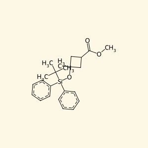 COC(=O)C1CC(C)(O[Si](c2ccccc2)(c2ccccc2)C(C)(C)C)C1